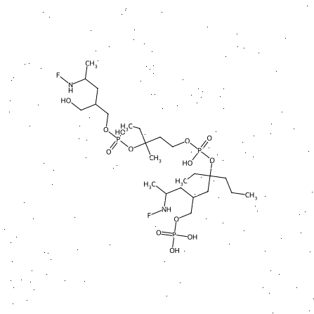 CCCC(CC)(CC(COP(=O)(O)O)CC(C)NF)OP(=O)(O)OCCC(C)(CC)OP(=O)(O)OCC(CO)CC(C)NF